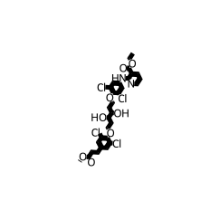 CCOC(=O)c1cccnc1Nc1cc(Cl)c(OCCC(O)C(O)CCOc2c(Cl)cc(CCC(=O)OC)cc2Cl)c(Cl)c1